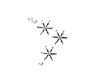 [F][Sb-]([F])([F])([F])([F])[F].[F][Sb-]([F])([F])([F])([F])[F].[F][Sb-]([F])([F])([F])([F])[F].[SH3+].[SH3+].[SH3+]